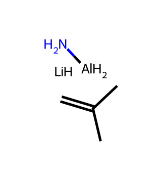 C=C(C)C.[LiH].[NH2][AlH2]